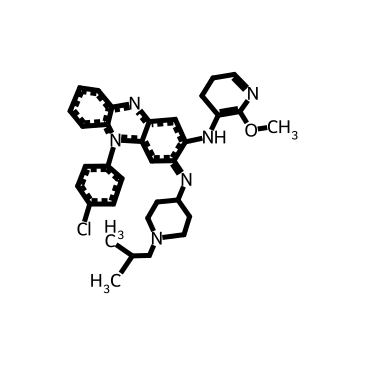 COC1=C(Nc2cc3nc4ccccc4n(-c4ccc(Cl)cc4)c-3c/c2=N\C2CCN(CC(C)C)CC2)CCC=N1